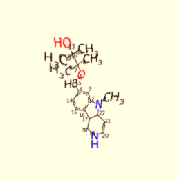 CN1c2cc(BOC(C)(C)C(C)(C)O)ccc2C2CNC=CC21